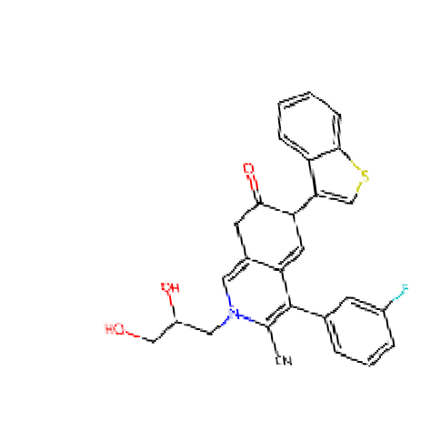 N#CC1=C(c2cccc(F)c2)C2=CC(c3csc4ccccc34)C(=O)CC2=CN1CC(O)CO